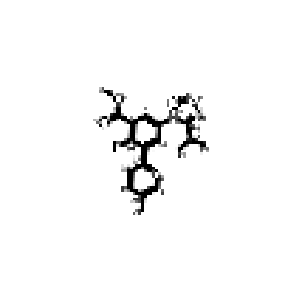 COC(=O)c1cc(-n2nnnc2C(C)C)cc(-c2ccc(C)cn2)c1F